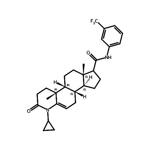 C[C@]12CCC(=O)N(C3CC3)C1=CC[C@@H]1[C@H]2CC[C@]2(C)C(C(=O)Nc3cccc(C(F)(F)F)c3)CC[C@@H]12